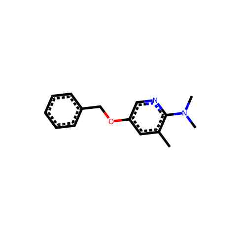 Cc1cc(OCc2ccccc2)cnc1N(C)C